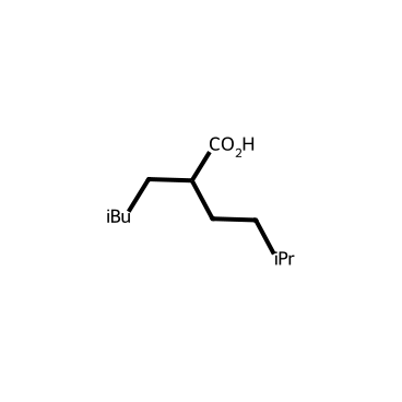 CCC(C)CC(CCC(C)C)C(=O)O